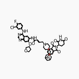 O=C(/C=C/CN1CCC(CN2CC3CC(C2)N3c2ccc3c(c2)C(=O)N(C2CCC(=O)NC2=O)C3=O)CC1)Nc1cc2c(Nc3ccc(F)c(Cl)c3)ncnc2cc1O[C@H]1CCOC1